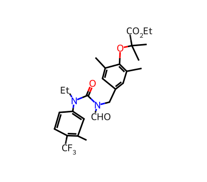 CCOC(=O)C(C)(C)Oc1c(C)cc(CN(C=O)C(=O)N(CC)c2ccc(C(F)(F)F)c(C)c2)cc1C